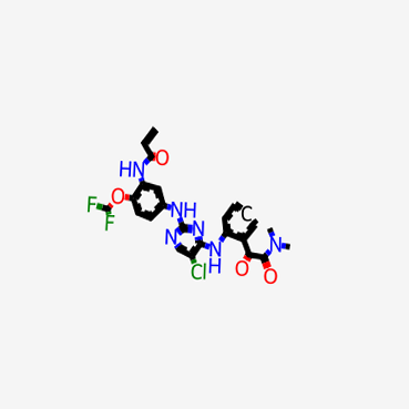 C=CC(=O)Nc1cc(Nc2ncc(Cl)c(Nc3ccccc3C(=O)C(=O)N(C)C)n2)ccc1OC(F)F